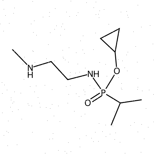 CNCCNP(=O)(OC1CC1)C(C)C